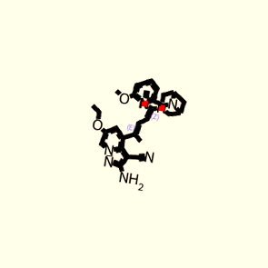 C=N/C(=C\C=C(/C)c1cc(OCC)cn2nc(N)c(C#N)c12)N1CC2CC(C1)N2Cc1cccc(OC)n1